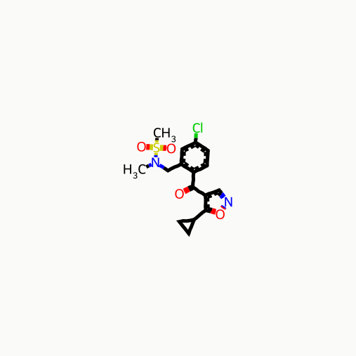 CN(Cc1cc(Cl)ccc1C(=O)c1cnoc1C1CC1)S(C)(=O)=O